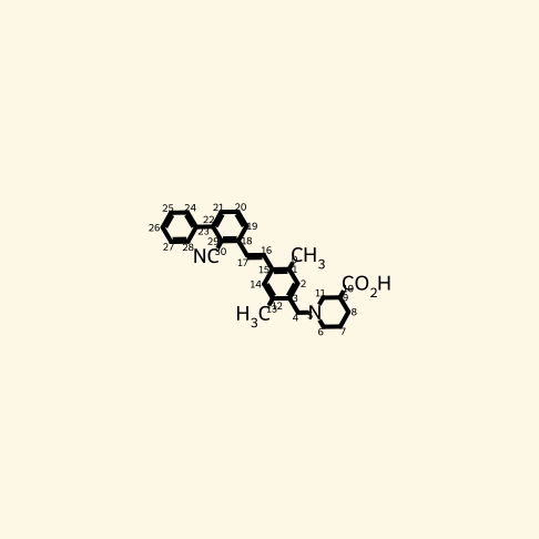 Cc1cc(CN2CCCC(C(=O)O)C2)c(C)cc1/C=C/c1cccc(-c2ccccc2)c1C#N